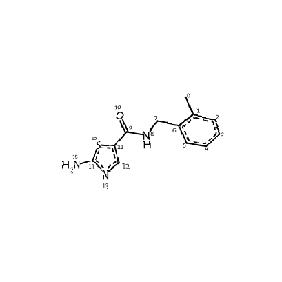 Cc1ccccc1CNC(=O)c1cnc(N)s1